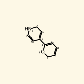 C1=CCOC(C2=CCNC=C2)=C1